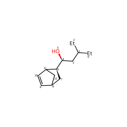 CCC(CC)C[C@H](O)[C@H]1CC2C=CC1C2